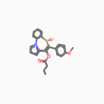 CCCC(=O)OC1=C(c2ccc(OC)cc2)[S+]([O-])c2ccccc2-n2cccc21